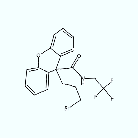 O=C(NCC(F)(F)F)C1(CCCBr)c2ccccc2Oc2ccccc21